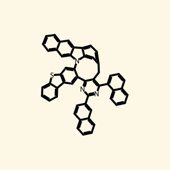 c1ccc2cc(-c3nc4c(c(-c5cccc6ccccc56)n3)Cc3ccc5c6cc7ccccc7cc6n(c5c3)-c3cc5sc6ccccc6c5cc3-4)ccc2c1